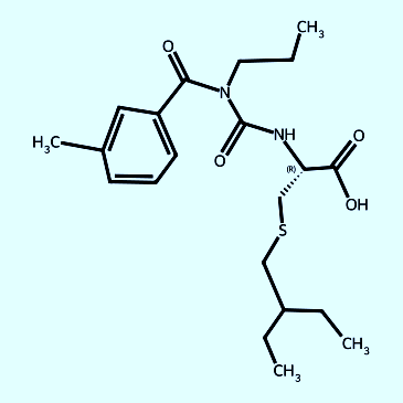 CCCN(C(=O)N[C@@H](CSCC(CC)CC)C(=O)O)C(=O)c1cccc(C)c1